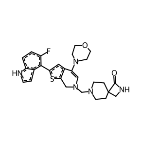 O=C1NCC12CCN(CN1C=C(N3CCOCC3)c3cc(-c4c(F)ccc5[nH]ccc45)sc3C1)CC2